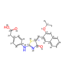 CC(C)Oc1cc2ccccc2cc1/C=C1/SC(Nc2ccc(CC(=O)O)cc2)=NC1=O